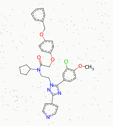 COc1ccc(-c2nc(-c3ccncc3)nn2CCN(C(=O)COc2ccc(OCc3ccccc3)cc2)C2CCCC2)cc1Cl